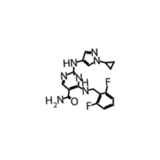 NC(=O)c1cnc(Nc2cnn(C3CC3)c2)nc1NCc1c(F)cccc1F